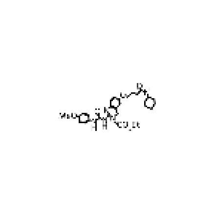 CCOC(=O)CN1Cc2cc(OCCCC(=O)N(C)C3CCCCC3)ccc2N=C1NC(=O)Nc1ccc(OC)cc1